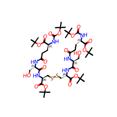 CC(C)(C)OC(=O)N[C@@H](CCC(=O)N[C@@H](CO)C(=O)N[C@@H](CSSC[C@H](NC(=O)[C@H](CO)NC(=O)CC[C@H](NC(=O)OC(C)(C)C)C(=O)OC(C)(C)C)C(=O)OC(C)(C)C)C(=O)OC(C)(C)C)C(=O)OC(C)(C)C